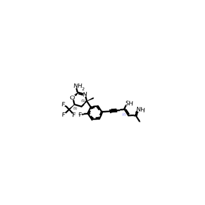 CC(=N)/C=C(\S)C#Cc1ccc(F)c([C@]2(C)C[C@@H](C(F)(F)F)OC(N)=N2)c1